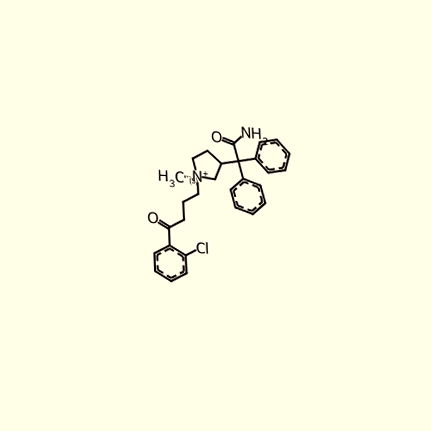 C[N@+]1(CCCC(=O)c2ccccc2Cl)CCC(C(C(N)=O)(c2ccccc2)c2ccccc2)C1